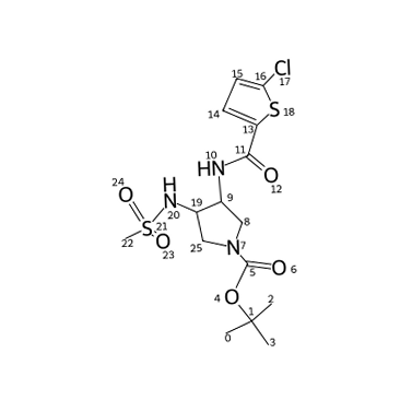 CC(C)(C)OC(=O)N1CC(NC(=O)c2ccc(Cl)s2)C(NS(C)(=O)=O)C1